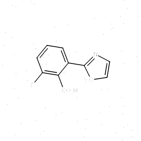 O=C(O)c1c(F)cccc1-c1ncco1